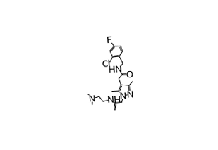 C=C(Cn1nc(C)c(CC(=O)NCc2ccc(F)cc2Cl)c1C)NCCN(C)C